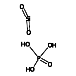 O=P(O)(O)O.O=[Si]=O